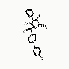 C=C(C)/C(Cl)=C(/c1ccccc1)N(N)CC(=O)N1CCN(c2ccc(Cl)cc2)CC1